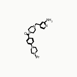 CC(C)N1CCN(c2ccc(C(=O)N3CCN(Cc4ccnc(N)c4)CC3)cc2)CC1